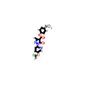 CC1=NN(c2ccc(OC(F)F)cn2)C(=O)C1C(=O)Oc1ccc([N+](=O)[O-])cc1